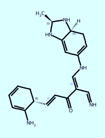 C[C@@H]1NC2=CC(N/C=C(\C=N)C(=O)/C=C/[C@H]3CC=CC=C3N)=CC[C@@H]2N1